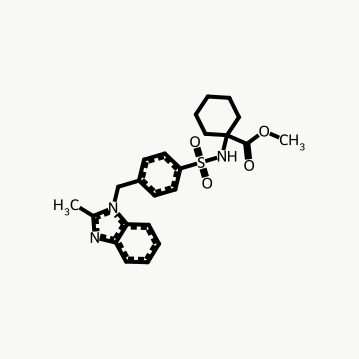 COC(=O)C1(NS(=O)(=O)c2ccc(Cn3c(C)nc4ccccc43)cc2)CCCCC1